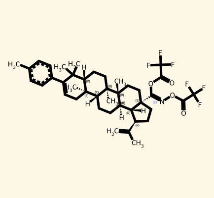 C=C(C)[C@@H]1CC[C@]2(/C(=N/OC(=O)C(F)(F)F)OC(=O)C(F)(F)F)CC[C@]3(C)[C@H](CC[C@@H]4[C@@]5(C)CC=C(c6ccc(C)cc6)C(C)(C)[C@@H]5CC[C@]43C)[C@@H]12